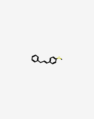 CSc1ccc(C=CCc2ccccc2)cc1